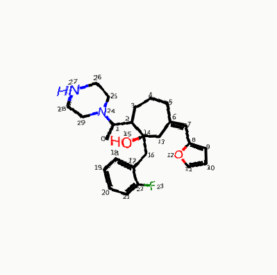 CC(C1CCC/C(=C/c2ccco2)CC1(O)Cc1ccccc1F)N1CCNCC1